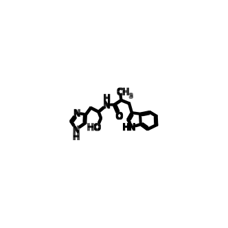 CC(Cc1c[nH]c2ccccc12)C(=O)NC(CO)Cc1c[nH]cn1